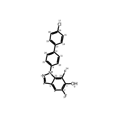 Oc1c(F)cc2cnn(-c3ccc(-c4ccc(Cl)cc4)cc3)c2c1F